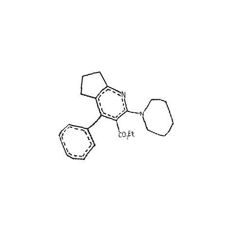 CCOC(=O)c1c(N2CCCCC2)nc2c(c1-c1ccccc1)CCC2